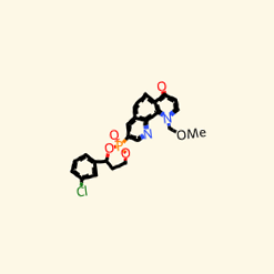 COCn1ccc(=O)c2ccc3cc(P4(=O)OCCC(c5cccc(Cl)c5)O4)cnc3c21